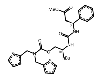 CCCC[C@@H](COC(=O)N(Cc1cccs1)Cc1cccs1)NC(=O)N[C@@H](CC(=O)OC)c1ccccc1